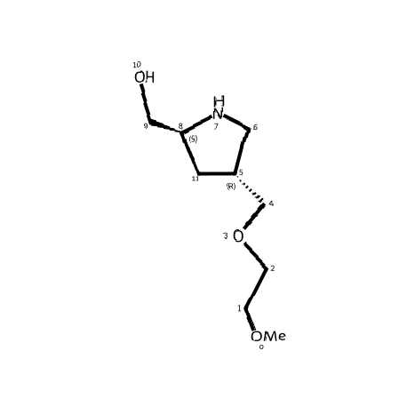 COCCOC[C@H]1CN[C@H](CO)C1